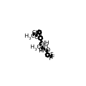 C[C@H](CC(=N)C1CCC(c2ccccc2C(=O)N(C)C)CC1)NC(=O)CNC(=O)c1cccc(C(F)(F)F)c1